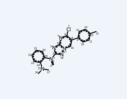 C=[N+](c1nc2nc(Cl)c(-c3ccc(C)cc3)cn2n1)c1ccccc1N(C)C